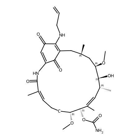 C=CCNC1=C2C[C@@H](C)C[C@@H](OC)[C@@H](O)[C@H](C)C=C(C)[C@H](OC(N)=O)[C@H](OC)CCC=C(C)C(=O)NC(=CC1=O)C2=O